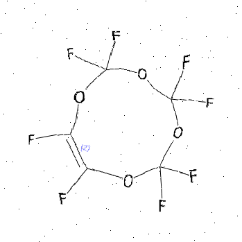 F/C1=C(\F)OC(F)(F)OC(F)(F)OC(F)(F)O1